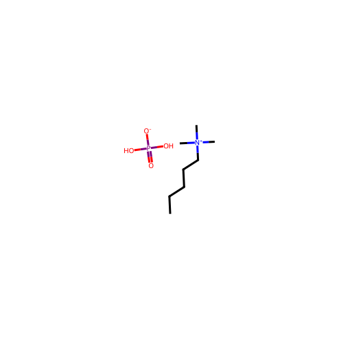 CCCCC[N+](C)(C)C.O=P([O-])(O)O